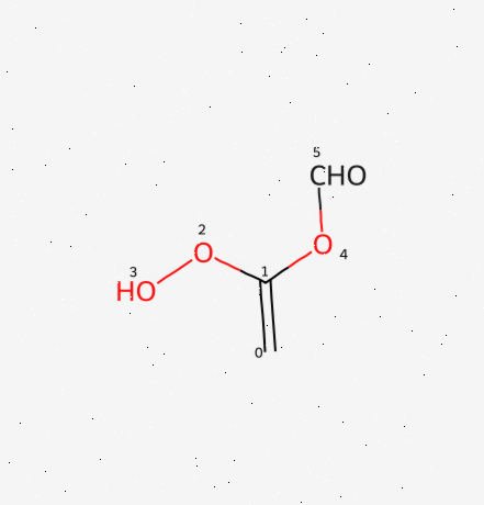 C=C(OO)OC=O